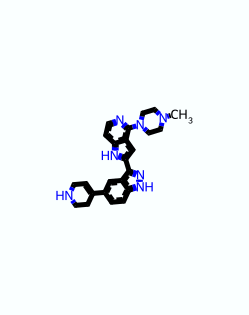 CN1CCN(c2nccc3[nH]c(-c4n[nH]c5ccc(C6=CCNCC6)cc45)cc23)CC1